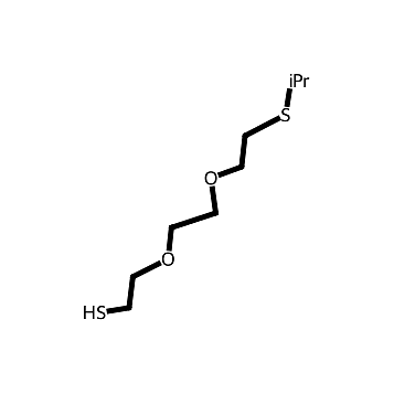 CC(C)SCCOCCOCCS